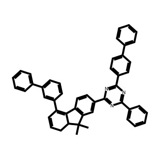 CC1(C)c2cc(-c3nc(-c4ccccc4)nc(-c4ccc(-c5ccccc5)cc4)n3)ccc2C2=C(c3cccc(-c4ccccc4)c3)C=CCC21